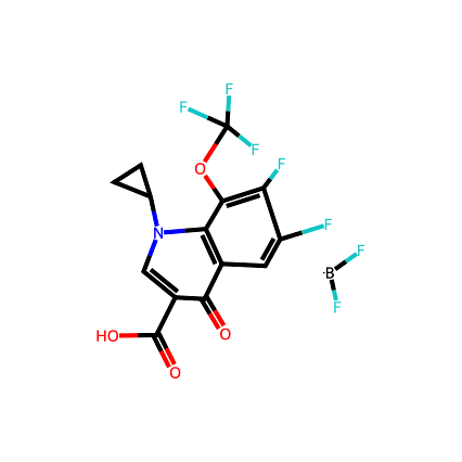 F[B]F.O=C(O)c1cn(C2CC2)c2c(OC(F)(F)F)c(F)c(F)cc2c1=O